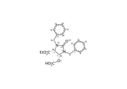 CCOC(=O)[C@H]1[C@@H](OC(=O)O)N(Cc2ccccc2)C(=O)N1Cc1ccccc1